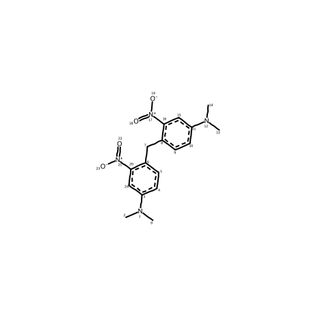 CN(C)c1ccc(Cc2ccc(N(C)C)cc2[N+](=O)[O-])c([N+](=O)[O-])c1